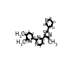 Cc1ccc(-c2nccc(-c3sc(-c4cccnc4)nc3C)n2)nc1C